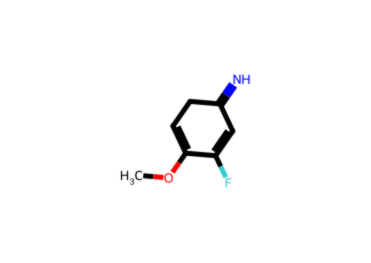 COC1=CCC(=N)C=C1F